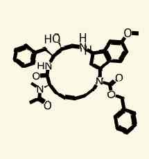 COc1ccc2c(c1)[C@@H]1CC2N(C(=O)OCc2ccccc2)CC/C=C\C[C@H](N(C)C(C)=O)C(=O)N[C@@H](Cc2ccccc2)[C@H](O)CN1